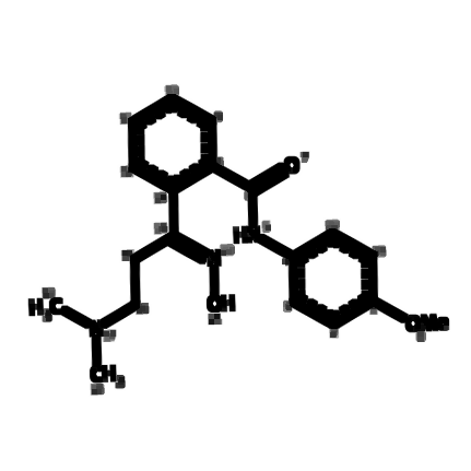 COc1ccc(NC(=O)c2ccccc2C(CCN(C)C)=NO)cc1